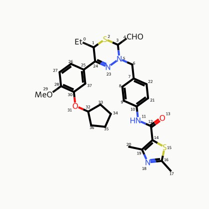 CCC1SC(C=O)N(Cc2ccc(NC(=O)c3sc(C)nc3C)cc2)N=C1c1ccc(OC)c(OC2CCCC2)c1